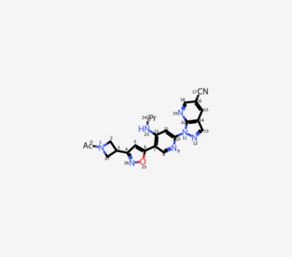 CC(=O)N1CC(c2cc(-c3cnc(-n4ncc5cc(C#N)cnc54)cc3NC(C)C)on2)C1